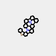 c1ccc(-c2cccc(-c3ccccc3-n3c4ccccc4c4ccc5sc6ccccc6c5c43)c2-n2c3ccccc3c3ccccc32)cc1